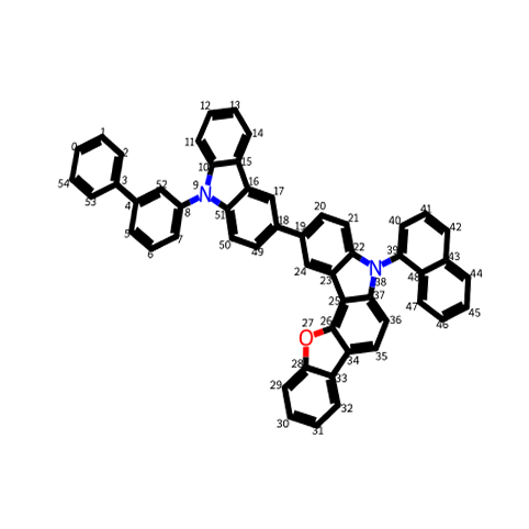 c1ccc(-c2cccc(-n3c4ccccc4c4cc(-c5ccc6c(c5)c5c7oc8ccccc8c7ccc5n6-c5cccc6ccccc56)ccc43)c2)cc1